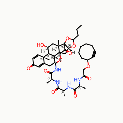 CCCC1O[C@@H]2C[C@H]3[C@@H]4CCC5=CC(=O)C=C[C@]5(C)[C@H]4[C@@H](O)C[C@]3(C)[C@]2(C(=O)COCNC(=O)[C@H](C)NC(=O)[C@@H](C)NC(=O)[C@H](C)NC(=O)COC2C#CCCCCC2)O1